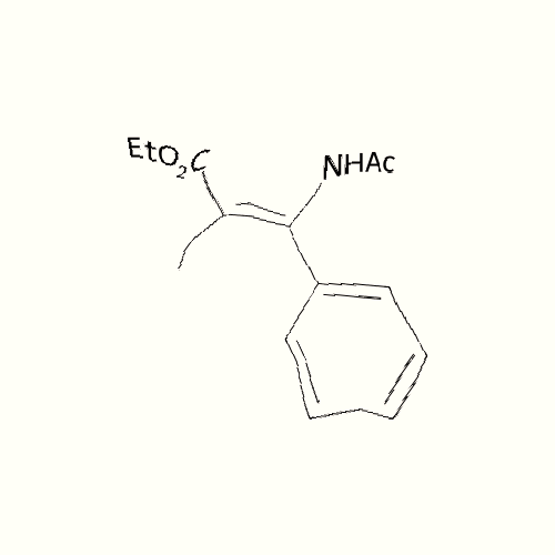 CCOC(=O)C(C)=C(NC(C)=O)c1ccccc1